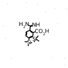 C[Si](C)(C)c1ccc(C(=N)N)c(C(=O)O)c1[Si](C)(C)C